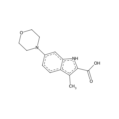 Cc1c(C(=O)O)[nH]c2cc(N3CCOCC3)ccc12